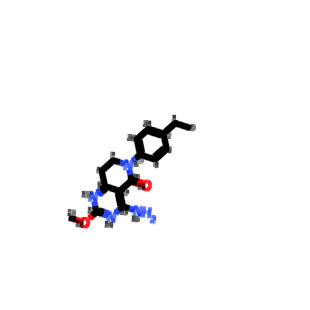 CCc1ccc(N2CCc3nc(OC)nc(N)c3C2=O)cc1